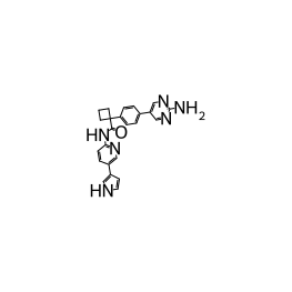 Nc1ncc(-c2ccc(C3(C(=O)Nc4ccc(-c5cc[nH]c5)cn4)CCC3)cc2)cn1